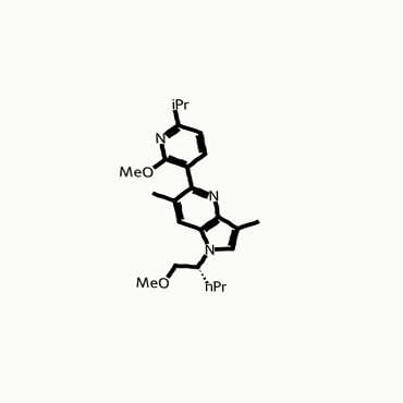 CCC[C@H](COC)n1cc(C)c2nc(-c3ccc(C(C)C)nc3OC)c(C)cc21